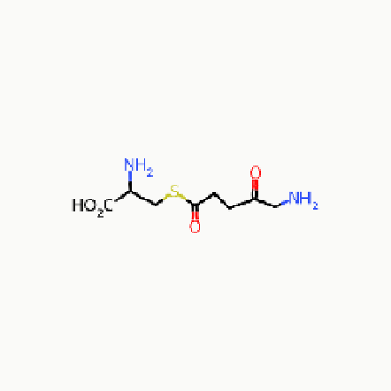 NCC(=O)CCC(=O)SCC(N)C(=O)O